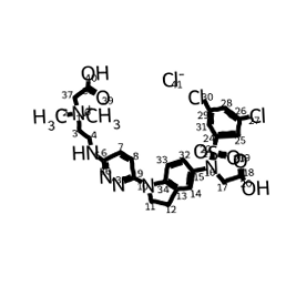 C[N+](C)(CCNc1ccc(N2CCc3cc(N(CC(=O)O)S(=O)(=O)c4cc(Cl)cc(Cl)c4)ccc32)nn1)CC(=O)O.[Cl-]